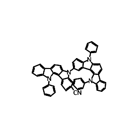 N#Cc1ccc2c3c(ccc4c5ccccc5n(-c5ccccc5)c43)n(-c3ccc4c(c3)c3c(ccc5c6ccccc6n(-c6ccccc6)c53)n4-c3ccccc3)c2c1